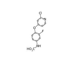 O=C(O)Nc1ccc(Oc2ccnc(Cl)c2)c(F)c1